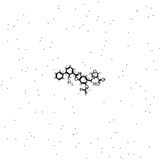 Cc1c(-c2ccccc2)cccc1-c1nc2cc(CN3COC[C@H]3C(=O)O)c(OC(F)F)cc2o1